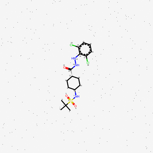 CC(C)(C)S(=O)(=O)N[C@H]1CC[C@H](C(=O)NNc2c(Cl)cccc2Cl)CC1